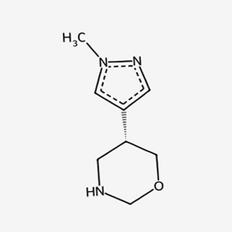 Cn1cc([C@H]2CNCOC2)cn1